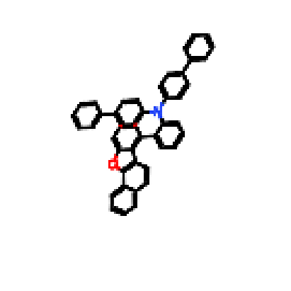 c1ccc(-c2ccc(N(c3ccc(-c4ccccc4)cc3)c3ccccc3-c3cccc4oc5c6ccccc6ccc5c34)cc2)cc1